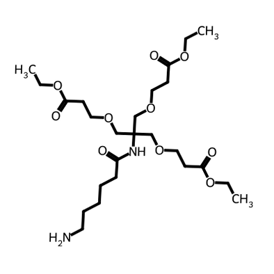 CCOC(=O)CCOCC(COCCC(=O)OCC)(COCCC(=O)OCC)NC(=O)CCCCCN